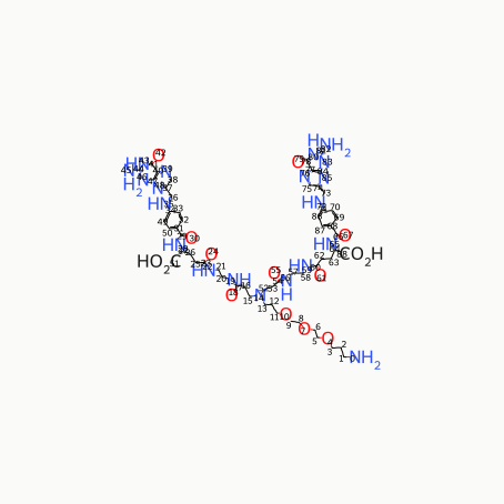 NCCCOCCOCCOCCCN(CCC(=O)NCCNC(=O)CCC(NC(=O)c1ccc(NCc2cnc3c(=O)[nH]c(N)nc3n2)cc1)C(=O)O)CCC(=O)NCCNC(=O)CCC(NC(=O)c1ccc(NCc2cnc3c(=O)[nH]c(N)nc3n2)cc1)C(=O)O